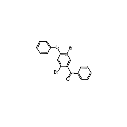 O=C(c1ccccc1)c1cc(Br)c(Oc2ccccc2)cc1Br